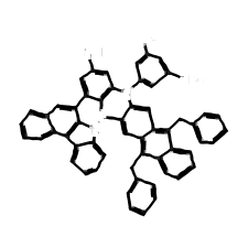 CC(C)(C)c1cc(N2c3cc4c(Cc5ccccc5)c5ccccc5c(Cc5ccccc5)c4cc3B3c4c(cc(N)cc42)-c2cc4ccccc4c4c5ccccc5n3c24)cc(C(C)(C)C)c1